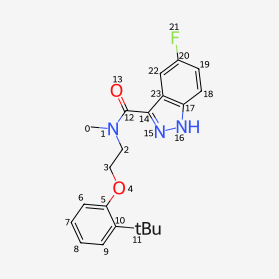 CN(CCOc1ccccc1C(C)(C)C)C(=O)c1n[nH]c2ccc(F)cc12